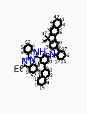 CCC(/N=C(\N=C(/N)c1cc(-c2ccc3ccccc3c2)cc(-n2c3ccccc3c3cc4c(cc32)C(C)(C)c2cc3ccccc3cc2-4)c1)c1ccccc1)c1ccccc1